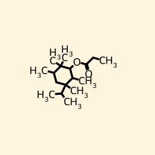 CCC(=O)OC1C(C)C(C)(C(C)C)CC(C)C1(C)C